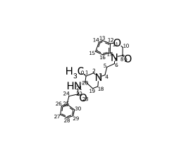 C[C@H]1CN(CCCN2C(=O)COc3ccccc32)CC[C@@H]1NC(=O)Cc1ccccc1